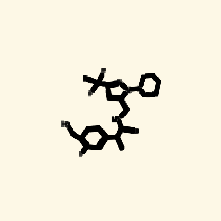 CC(C(=O)NCc1cc(C(F)(F)F)nn1N1CCCCC1)c1ccc(CO)c(F)c1